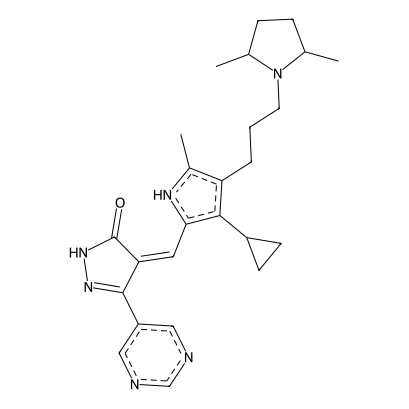 Cc1[nH]c(C=C2C(=O)NN=C2c2cncnc2)c(C2CC2)c1CCCN1C(C)CCC1C